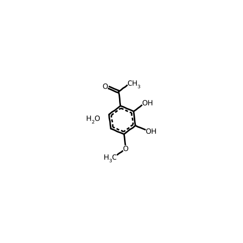 COc1ccc(C(C)=O)c(O)c1O.O